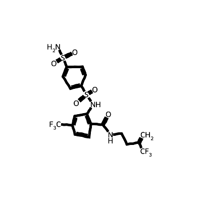 C=C(CCNC(=O)c1ccc(C(F)(F)F)cc1NS(=O)(=O)c1ccc(S(N)(=O)=O)cc1)C(F)(F)F